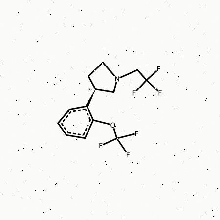 FC(F)(F)CN1CC[C@H](c2cc[c]cc2OC(F)(F)F)C1